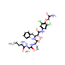 CC(C)C[C@H](NC(=O)[C@@H](NC(=O)[C@@H](N)CCC(=O)O)C(C)C)C(=O)N[C@@H](Cc1ccccc1)[C@@H](O)C(=O)Nc1cc(Cl)c(OCC(N)=O)c(Cl)c1